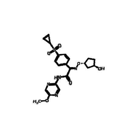 COc1cnc(NC(=O)/C(=N/O[C@@H]2CC[C@@H](O)C2)c2ccc(S(=O)(=O)C3CC3)cc2)cn1